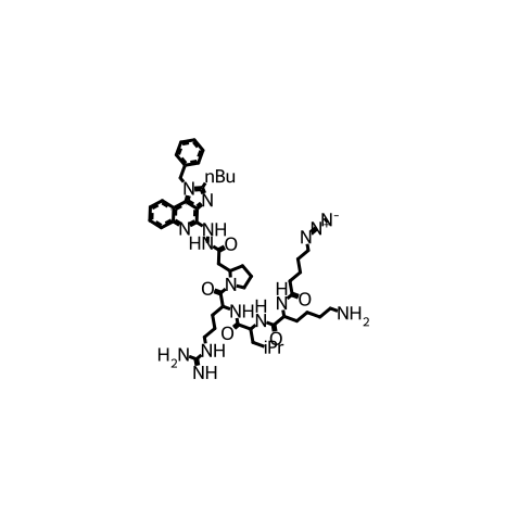 CCCCc1nc2c(NNC(=O)CC3CCCN3C(=O)C(CCCNC(=N)N)NC(=O)C(CC(C)C)NC(=O)C(CCCCN)NC(=O)CCCCN=[N+]=[N-])nc3ccccc3c2n1Cc1ccccc1